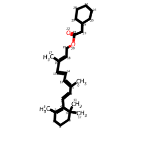 CC(C=CC1=C(C)CCCC1(C)C)=CC=CC(C)=CCOC(=O)CC1CCCCC1